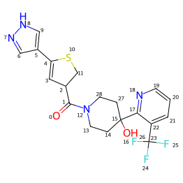 O=C(C1C=C(c2cn[nH]c2)SC1)N1CCC(O)(c2ncccc2C(F)(F)F)CC1